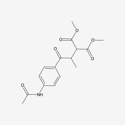 COC(=O)C(C(=O)OC)C(C)C(=O)c1ccc(NC(C)=O)cc1